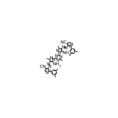 [C-]#[N+]c1cnn(-c2cc(C)cc(C)c2)c1N=Nc1c(C)nn(-c2nc(C)nc(-n3nc(C)c(N=Nc4c(C#N)cnn4-c4cc(C)cc(C)c4)c3N)n2)c1N